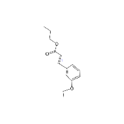 CCCOC(=O)/C=C/c1cccc(OCC)c1